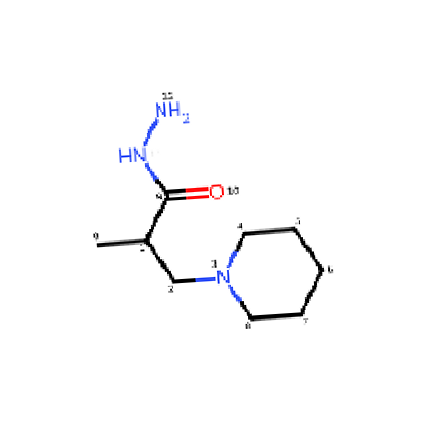 CC(CN1CCCCC1)C(=O)NN